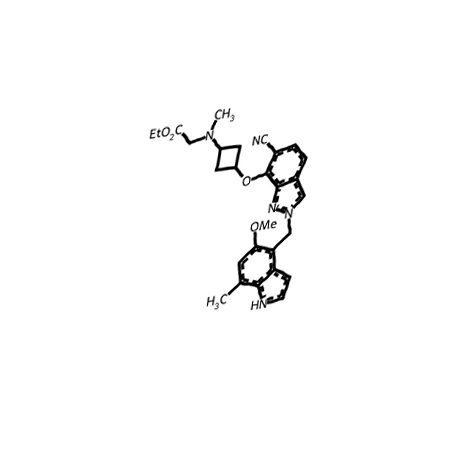 CCOC(=O)CN(C)C1CC(Oc2c(C#N)ccc3cn(Cc4c(OC)cc(C)c5[nH]ccc45)nc23)C1